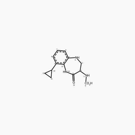 O=C(O)NC1CNc2cccc(C3CC3)c2NC1=O